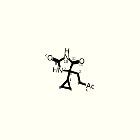 CC(=O)CCC1(C2CC2)NC(=O)NC1=O